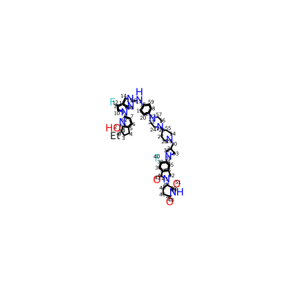 CC[C@@]1(O)CCc2ccc(-n3cc(F)c4cnc(Nc5ccc(N6CCN(C7CCN(CC8CN(c9cc%10c(cc9F)C(=O)N(C9CCC(=O)NC9=O)C%10)C8)CC7)CC6)cc5)nc43)nc21